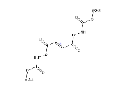 CCCCCCCCOC(=O)NOC(=O)/C=C/C(=O)ONC(=O)OCCCCCCCC